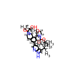 CC(C)c1c[nH]c2ncc(-c3cc4c(c([C@@H]5COCCN5C(=O)OC(C)(C)C)c3)CN(C(=O)C(C)(C)O)CC4)cc12